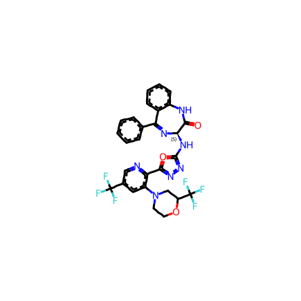 O=C1Nc2ccccc2C(c2ccccc2)=N[C@@H]1Nc1nnc(-c2ncc(C(F)(F)F)cc2N2CCOC(C(F)(F)F)C2)o1